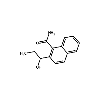 CCC(O)c1ccc2ccccc2c1C(N)=O